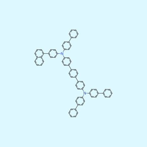 c1ccc(-c2ccc(N(c3ccc(-c4ccccc4)cc3)c3ccc(-c4ccc(-c5ccc(N(c6ccc(-c7ccccc7)cc6)c6ccc(-c7cccc8ccccc78)cc6)cc5)cc4)cc3)cc2)cc1